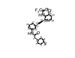 O=C(Cc1ccc(F)cc1)Nc1cc(C#Cc2nccc(Cl)c2NC(=O)C(F)(F)F)ccn1